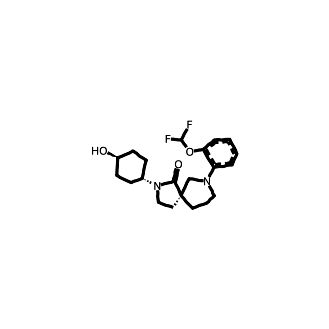 O=C1N([C@H]2CC[C@H](O)CC2)CC[C@]12CCCN(c1ccccc1OC(F)F)C2